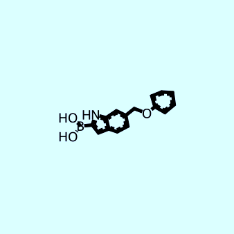 OB(O)c1cc2ccc(COc3ccccc3)cc2[nH]1